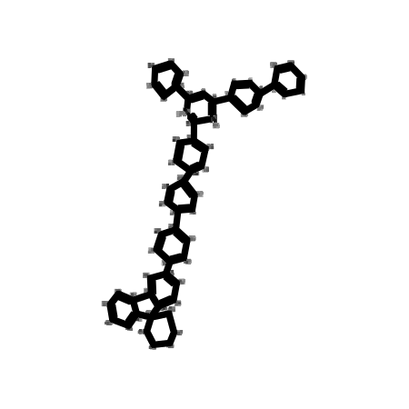 c1ccc(-c2ccc(-c3cc(-c4ccccc4)nc(-c4ccc(-c5ccc(-c6ccc(-c7ccc8c(c7)-c7ccccc7C87CCCCC7)cc6)cc5)cc4)n3)cc2)cc1